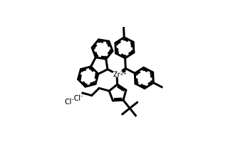 CCCC1C=C(C(C)(C)C)C=[C]1[Zr+2](=[C](c1ccc(C)cc1)c1ccc(C)cc1)[CH]1c2ccccc2-c2ccccc21.[Cl-].[Cl-]